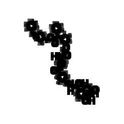 O=C(COc1cccc(C(C(=O)OCC2CCN(Cc3ccccc3)CC2)c2ccccc2)c1)N[C@H]1CCN(C(=O)c2ccc(CNC[C@H](O)c3ccc(O)c4[nH]c(=O)ccc34)cc2)C1